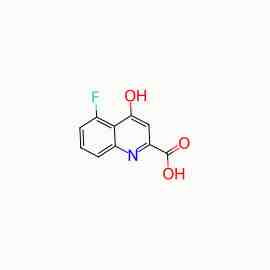 O=C(O)c1cc(O)c2c(F)cccc2n1